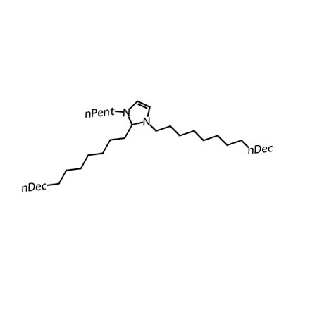 CCCCCCCCCCCCCCCCCCN1C=CN(CCCCC)C1CCCCCCCCCCCCCCCCC